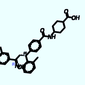 Cc1cc(/C(C[C@H](c2ccc(C(=O)NC3CCC(C(=O)O)CC3)cc2)c2ccccc2C)=N/O)ccn1